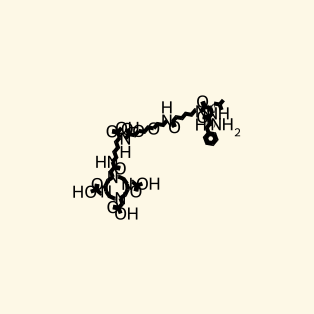 CC(C)C[C@H](NC(=O)[C@@H](N)Cc1ccccc1)C(=O)NCCCCCC(=O)NCCOCCOCC(=O)NC(CCCCNC(=O)CN1CCN(CC(=O)O)CCN(CC(=O)O)CCN(CC(=O)O)CC1)C(=O)O